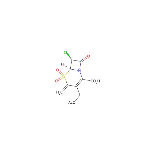 C=C1C(COC(C)=O)=C(C(=O)O)N2C(=O)[C@H](Cl)[C@@H]2S1(=O)=O